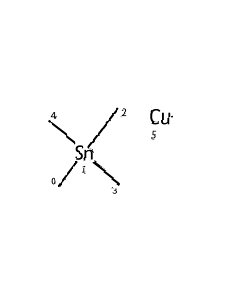 [CH3][Sn]([CH3])([CH3])[CH3].[Cu]